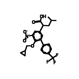 CC(C)CC(C(=O)O)c1cc(-c2ccc(C(F)(F)F)cc2)c(OCC2CC2)c([N+](=O)[O-])c1